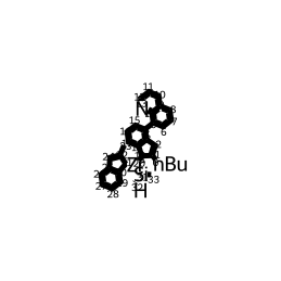 CCCCC1=Cc2c(-c3cccc4cccnc34)cccc2[CH]1[Zr]([CH]1C(C)=Cc2ccccc21)[SiH](C)C